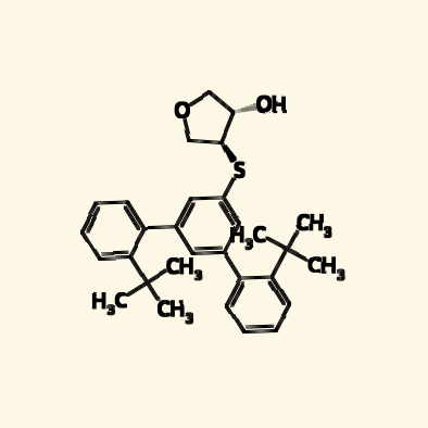 CC(C)(C)c1ccccc1-c1cc(S[C@H]2COC[C@@H]2O)cc(-c2ccccc2C(C)(C)C)c1